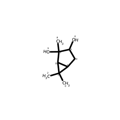 CC1(C)C2CC(O)C(C)(O)C21